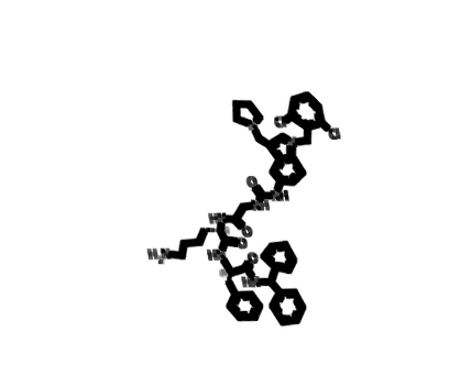 NCCCC[C@H](NC(=O)CNC(=O)Nc1ccc2c(c1)c(CN1CCCC1)cn2Cc1c(Cl)cccc1Cl)C(=O)N[C@@H](Cc1ccccc1)C(=O)NC(c1ccccc1)c1ccccc1